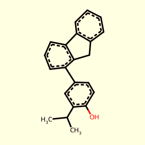 CC(C)c1cc(-c2cccc3c2Cc2ccccc2-3)ccc1O